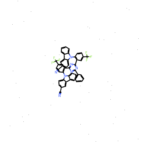 N#Cc1ccc2c(c1)c1ccccc1n2-c1ccc(C(F)(F)F)cc1-c1nc(-c2ccccc2)nc(-c2cc(C(F)(F)F)ccc2-n2c3ccccc3c3cc(C#N)ccc32)n1